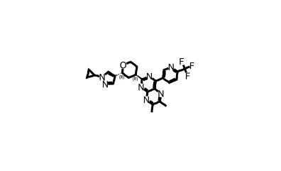 Cc1nc2nc([C@@H]3CCO[C@@H](c4cnn(C5CC5)c4)C3)nc(-c3ccc(C(F)(F)F)nc3)c2nc1C